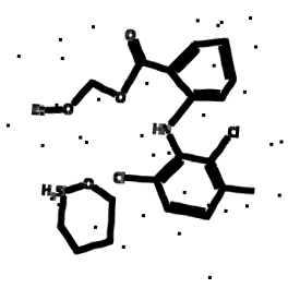 C1CC[SiH2]OC1.CCOCOC(=O)c1ccccc1Nc1c(Cl)ccc(C)c1Cl